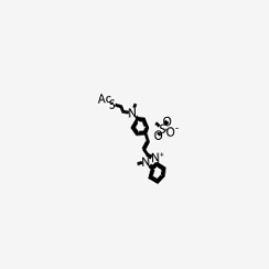 CC(=O)SCCN(C)c1ccc(/C=C/c2n(C)c3ccccc3[n+]2C)cc1.CS(=O)(=O)[O-]